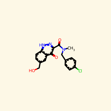 CN(Cc1ccc(Cl)cc1)C(=O)c1n[nH]c2ccc(CO)cc2c1=O